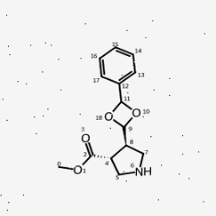 COC(=O)[C@H]1CNC[C@@H]1C1OC(c2ccccc2)O1